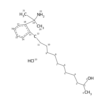 CC(O)CCCCCCCCCCc1ccccc1C(C)(C)N.Cl